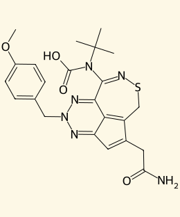 COc1ccc(Cn2nc3cc(CC(N)=O)c4c-3c(n2)C(N(C(=O)O)C(C)(C)C)=NSC4)cc1